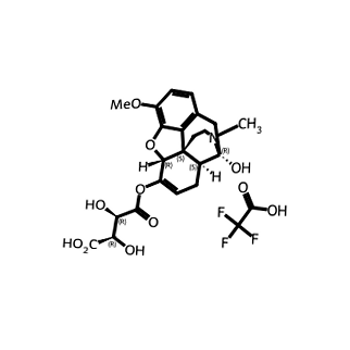 COc1ccc2c3c1O[C@H]1C(OC(=O)[C@H](O)[C@@H](O)C(=O)O)=CC[C@H]4[C@@]31CCN(C)[C@@]4(O)C2.O=C(O)C(F)(F)F